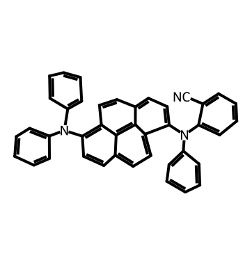 N#Cc1ccccc1N(c1ccccc1)c1ccc2ccc3c(N(c4ccccc4)c4ccccc4)ccc4ccc1c2c43